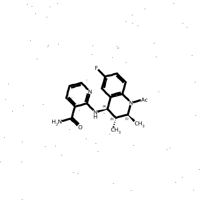 CC(=O)N1c2ccc(F)cc2[C@H](Nc2ncccc2C(N)=O)[C@@H](C)[C@@H]1C